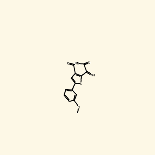 COc1cccc(-c2cc3c(s2)C(=N)C(=O)NC3=O)c1